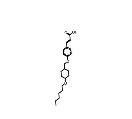 CCCCCCOC1CCC(COc2ccc(/C=C/C(=O)O)cc2)CC1